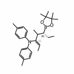 C/C=C(/C(C)[C@@H](CC)B1OC(C)(C)C(C)(C)O1)N(c1ccc(C)cc1)c1ccc(C)cc1